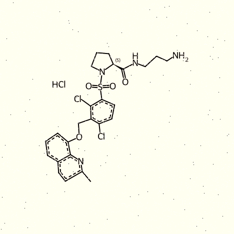 Cc1ccc2cccc(OCc3c(Cl)ccc(S(=O)(=O)N4CCC[C@H]4C(=O)NCCCN)c3Cl)c2n1.Cl